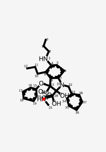 CCCNc1ccc2c(c1CCC)C(Oc1ccccc1)(S(=O)(=O)NC)C(O)(C(=O)O)N2Cc1ccccc1